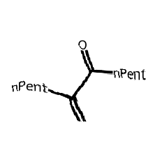 C=C(CCCCC)C(=O)CCCCC